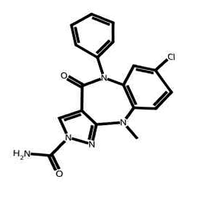 CN1c2ccc(Cl)cc2N(c2ccccc2)C(=O)c2cn(C(N)=O)nc21